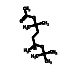 CC(=O)O[Si](C)(C)CC[SiH](C)O[Si](C)(C)C